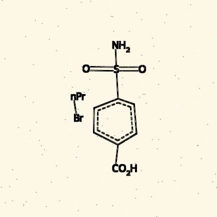 CCCBr.NS(=O)(=O)c1ccc(C(=O)O)cc1